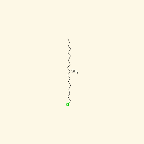 CCCCCCCCCCCCCCCCCCCl.[SiH4]